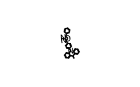 CC1c2ccccc2N(c2ccc(-c3nnc(-c4ccccc4)o3)cc2)c2ccccc21